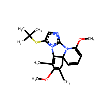 COC1=CC=CC23CC(C)=C(OC)C(C)=C2n2c(SC(C)(C)C)cnc2N13